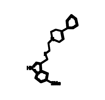 CSc1ccc2[nH]cc(CSCCN3CC=C(c4ccccc4)CC3)c2c1